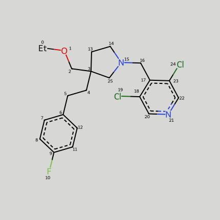 CCOCC1(CCc2ccc(F)cc2)CCN(Cc2c(Cl)cncc2Cl)C1